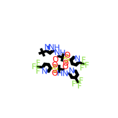 CC(C)(C(=O)Nc1cc(C(F)(F)F)ccn1)S(=O)(=O)c1ccc(C(F)(F)F)nc1.CC(C)(C)c1cc(NC(=O)C(C)(C)S(=O)(=O)c2ccc(C(F)(F)F)nc2)[nH]n1